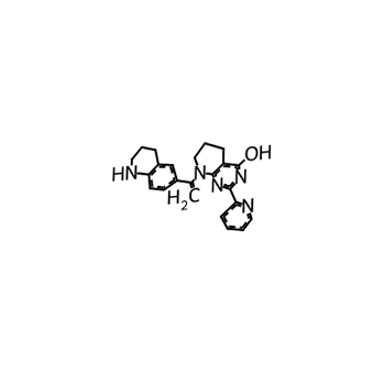 C=C(c1ccc2c(c1)CCCN2)N1CCCc2c(O)nc(-c3ccccn3)nc21